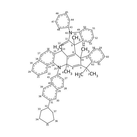 CC1(C)C2=CC3(C)C4=C(C5(C)C(=CC4(C)c4ccc6ccccc6c4N3c3ccc4cc(C6CCCCC6)ccc4c3)N(c3ccccc3)c3ccccc35)C2(C)c2ccccc21